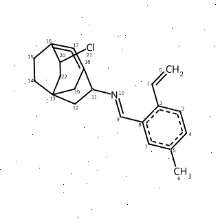 C=Cc1ccc(C)cc1/C=N/C1CC23CCC(=C=C1C2)C(Cl)C3